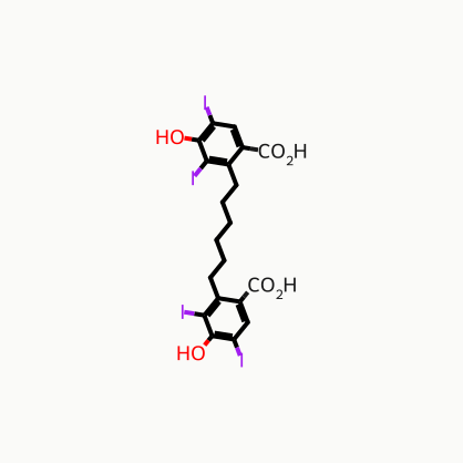 O=C(O)c1cc(I)c(O)c(I)c1CCCCCCc1c(C(=O)O)cc(I)c(O)c1I